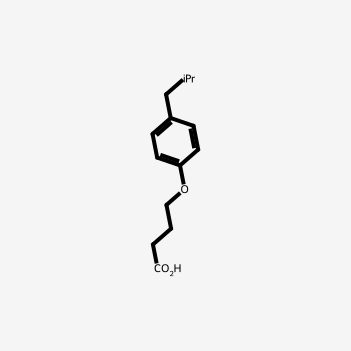 CC(C)Cc1ccc(OCCCC(=O)O)cc1